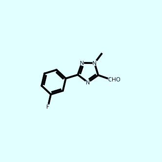 Cn1nc(-c2cccc(F)c2)nc1C=O